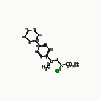 CCOC(=O)C(Cl)CC(C)c1ccc(C2CCCCC2)cc1